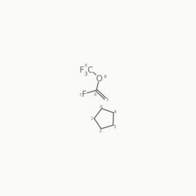 C1CCCC1.C=C(F)OC(F)(F)F